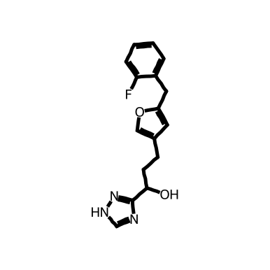 OC(CCc1coc(Cc2ccccc2F)c1)c1nc[nH]n1